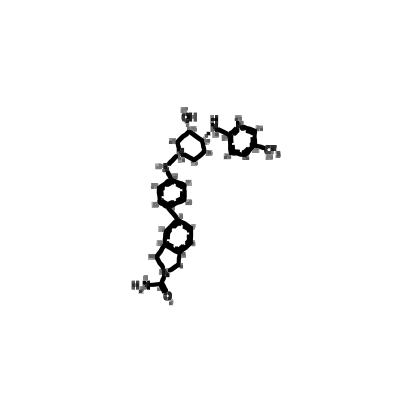 NC(=O)N1Cc2ccc(-c3ccc(SN4CC[C@@H](Nc5ccc(C(F)(F)F)cn5)[C@@H](O)C4)cc3)cc2C1